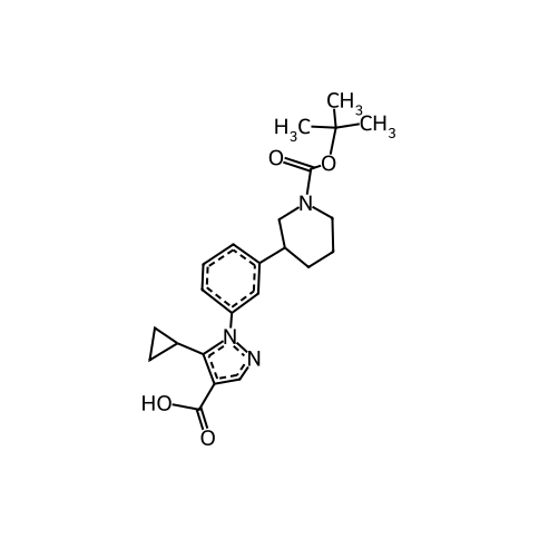 CC(C)(C)OC(=O)N1CCCC(c2cccc(-n3ncc(C(=O)O)c3C3CC3)c2)C1